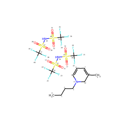 CCCCN1C=CC=C(C)C1.O=S(=O)(NS(=O)(=O)C(F)(F)F)C(F)(F)F.O=S(=O)(NS(=O)(=O)C(F)(F)F)C(F)(F)F